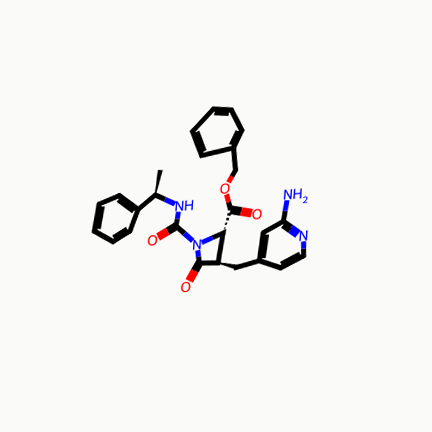 C[C@@H](NC(=O)N1C(=O)[C@H](Cc2ccnc(N)c2)[C@H]1C(=O)OCc1ccccc1)c1ccccc1